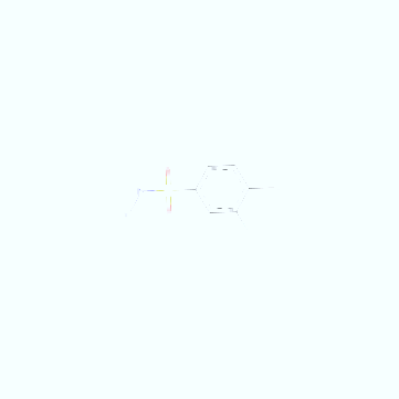 CC(C)(C)NS(=O)(=O)c1ccc(Br)c(F)c1